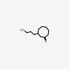 CCCC[C]1CCCCCC(=O)C1